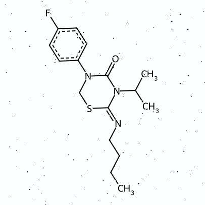 CCCCN=C1SCN(c2ccc(F)cc2)C(=O)N1C(C)C